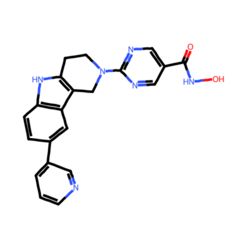 O=C(NO)c1cnc(N2CCc3[nH]c4ccc(-c5cccnc5)cc4c3C2)nc1